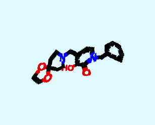 O=c1c(O)c(CN2CCC3(CC2)OCCO3)ccn1Cc1ccccc1